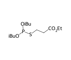 CCOC(=O)CCSP(OCC(C)C)OCC(C)C